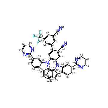 N#Cc1cc(-c2cc(-n3c4ccccc4c4ccc(-c5ncccn5)cc43)c(-n3c4ccccc4c4ccc(-c5ncccn5)cc43)cc2C#N)cc(C(F)(F)F)c1